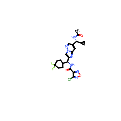 CCCC(=O)N[C@@H](c1cnn2cc([C@@H](NC(=O)c3nonc3Cl)C3CCC(F)(F)CC3)nc2c1)C1CC1